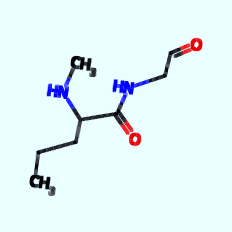 CCCC(NC)C(=O)NCC=O